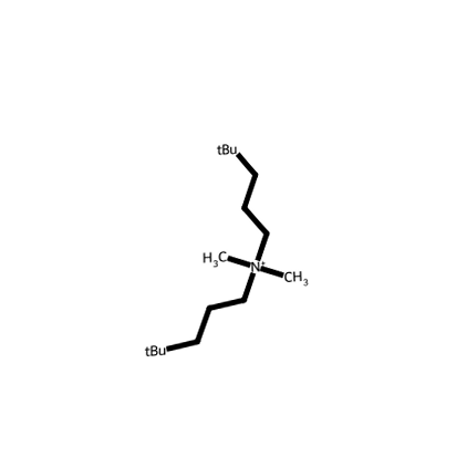 CC(C)(C)CCC[N+](C)(C)CCCC(C)(C)C